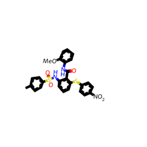 COc1ccccc1NC(=O)c1c(NS(=O)(=O)c2ccc(C)cc2)cccc1Sc1ccc([N+](=O)[O-])cc1